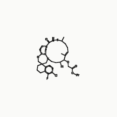 CCC1CCN2CC3(CCCc4c3ccc(Cl)c4F)COc3ccc(cc32)C(=O)NSC(C)CC/C=C(\C)C1OCC(=O)OC(C)C